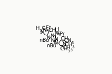 CCCCN(c1nc(NC(C)C)nc(N(CCCC)C2CC(C)(CC)N(C)C3(CC3)C2)n1)C1CC(C)(C)N(C)C(C)(C)C1